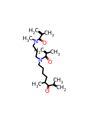 C=C(C)C(=O)C(C)CCCCN(CCCN(C)C(=O)C(=C)C)C(=O)C(=C)C